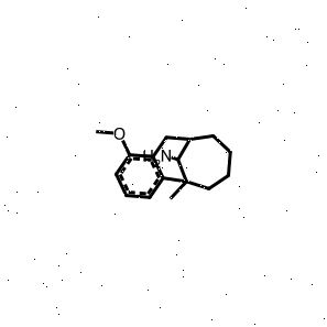 COc1cccc2c1CC1CCCCC2(C)C1N